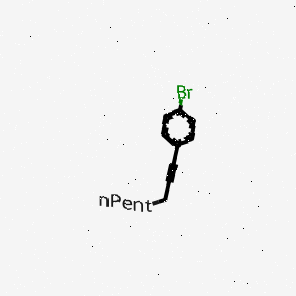 CCCCCCC#Cc1ccc(Br)cc1